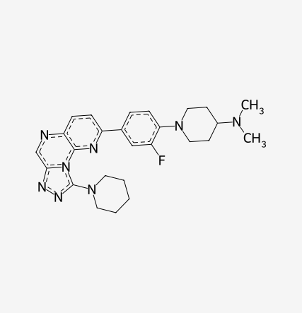 CN(C)C1CCN(c2ccc(-c3ccc4ncc5nnc(N6CCCCC6)n5c4n3)cc2F)CC1